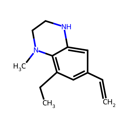 C=Cc1cc(CC)c2c(c1)NCCN2C